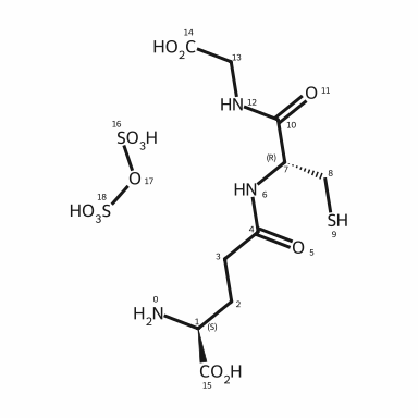 N[C@@H](CCC(=O)N[C@@H](CS)C(=O)NCC(=O)O)C(=O)O.O=S(=O)(O)OS(=O)(=O)O